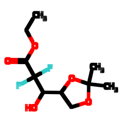 CCOC(=O)C(F)(F)C(O)C1COC(C)(C)O1